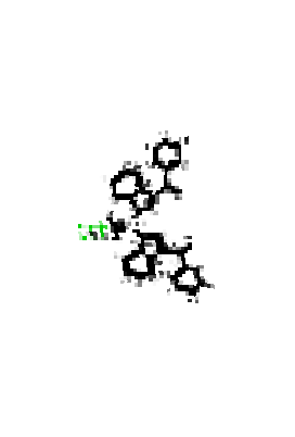 C[C](C)=[Zr+2]([CH]1C=C(C(C)c2ccccc2)c2ccccc21)[CH]1C=C(C(C)c2ccccc2)c2ccccc21.[Cl-].[Cl-]